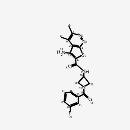 Cc1nnc2sc(C(=O)NC3CN(C(=O)c4cccc(F)c4)C3)c(N)c2c1C